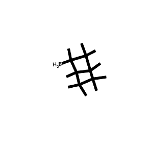 BC1(C)C(C)(C)C2(C)C(C)(C)C(C)(C)C12C